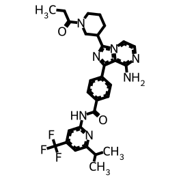 CCC(=O)N1CCCC(c2nc(-c3ccc(C(=O)Nc4cc(C(F)(F)F)cc(C(C)C)n4)cc3)c3c(N)nccn23)C1